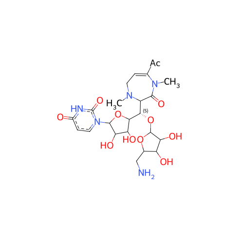 CC(=O)C1=CCN(C)C([C@H](OC2OC(CN)C(O)C2O)C2OC(n3ccc(=O)[nH]c3=O)C(O)C2O)C(=O)N1C